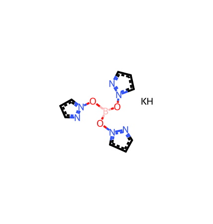 [KH].c1cnn(OB(On2cccn2)On2cccn2)c1